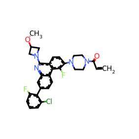 C=CC(=O)N1CCN(c2ccc3c(N4CC(OC)C4)nc4cc(-c5c(F)cccc5Cl)ccc4c3c2F)CC1